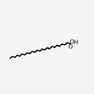 CCCCCCCCCCCCCCC/C=C/CC/C=C/CCCC(=O)O